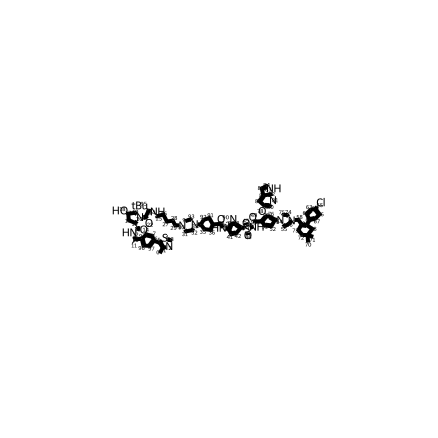 Cc1ncsc1-c1ccc([C@H](C)NC(=O)[C@@H]2C[C@@H](O)CN2C(=O)[C@@H](NCCCCCN2CCN(C3CCC(CNc4ccc(S(=O)(=O)NC(=O)c5ccc(N6CCN(CC7=C(c8ccc(Cl)cc8)CC(C)(C)CC7)CC6)cc5Oc5cnc6[nH]ccc6c5)cc4[N+](=O)[O-])CC3)CC2)C(C)(C)C)cc1